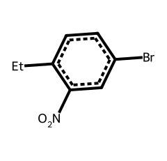 CCc1ccc(Br)cc1[N+](=O)[O-]